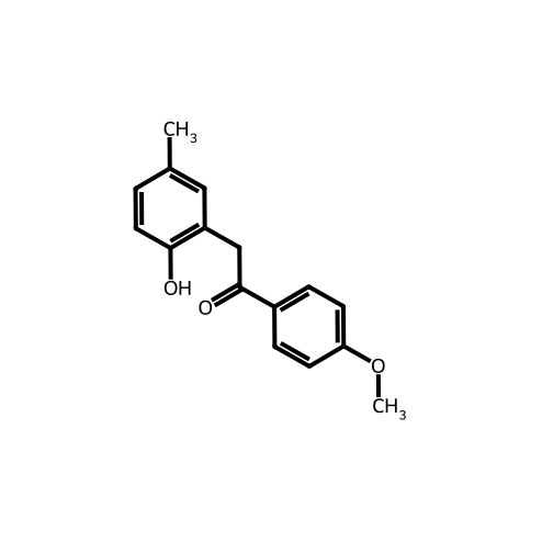 COc1ccc(C(=O)Cc2cc(C)ccc2O)cc1